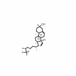 C[C@H](CCC[C@H](C)C(F)(F)F)[C@H]1C=C[C@H]2[C@@H]3CC=C4C[C@@](C)(O)CC[C@]4(C)[C@H]3CC[C@]12C